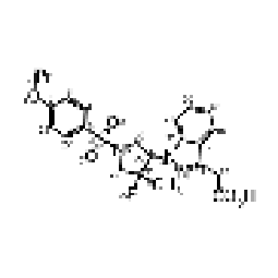 CC(C)Oc1ccc(S(=O)(=O)N2C[C@H](n3nc(CC(=O)O)c4ccccc43)[C@](C)(F)C2)cc1